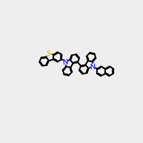 c1ccc2cc(-n3c4ccccc4c4c(-c5cccc6c5c5ccccc5n6-c5ccc6sc7ccccc7c6c5)cccc43)ccc2c1